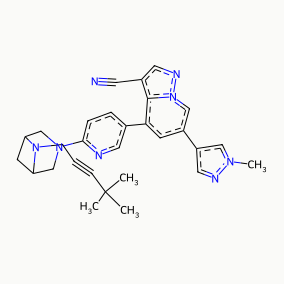 Cn1cc(-c2cc(-c3ccc(N4CC5CC(C4)N5CC#CC(C)(C)C)nc3)c3c(C#N)cnn3c2)cn1